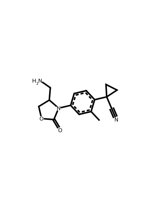 Cc1cc(N2C(=O)OCC2CN)ccc1C1(C#N)CC1